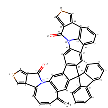 C=C1/C=C\C=C2\c3cscc3C(=O)N2c2cc3c(cc21)C1(c2ccccc2-c2ccccc21)c1cc2c4cccc5c6cscc6c(=O)n(c2cc1-3)c54